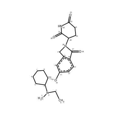 CCN(C)C1CCCC[C@@H]1Oc1ccc2c(c1)CN(C1CCC(=O)NC1=O)C2=O